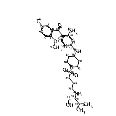 COc1ccc(F)cc1C(=O)c1cnc(NC2CCN(S(=O)(=O)CCCN[C@@H](CO)C(C)C)CC2)nc1N